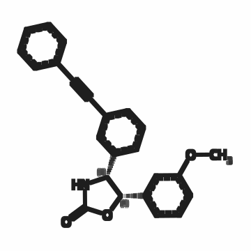 COc1cccc([C@@H]2OC(=O)N[C@@H]2c2cccc(C#Cc3ccccc3)c2)c1